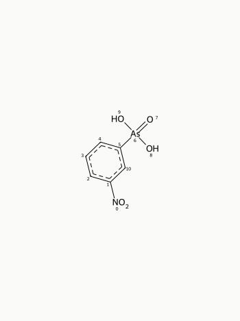 O=[N+]([O-])c1cccc([As](=O)(O)O)c1